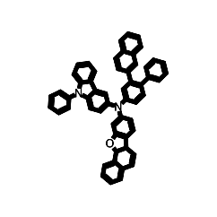 C1=CC2c3ccc(N(c4ccc(-c5ccccc5)c(-c5ccc6ccccc6c5)c4)c4ccc5c(c4)c4ccccc4n5-c4ccccc4)cc3OC2c2ccccc21